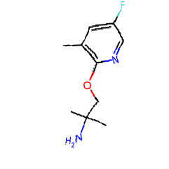 Cc1cc(F)cnc1OCC(C)(C)N